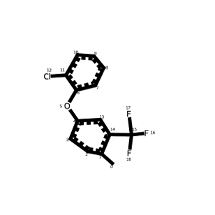 Cc1ccc(Oc2ccccc2Cl)cc1C(F)(F)F